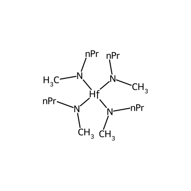 CCC[N](C)[Hf]([N](C)CCC)([N](C)CCC)[N](C)CCC